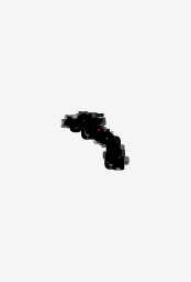 Cc1nc(OC2CCC3(CC2)CCN(C(=O)C(c2cccc(OC4CC4)c2)C(F)(F)F)CC3)ccc1C(=O)N(C)C